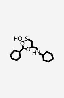 O=C(OC(CNC1CCCCC1)CS(=O)(=O)O)C1CCCCC1